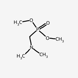 COP(=O)(CN(C)C)OC